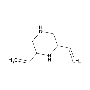 C=CC1CNCC(C=C)N1